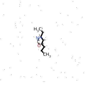 CCCCCCCC.N=C=O